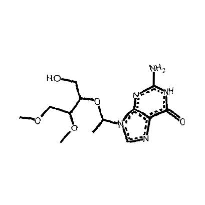 COCC(OC)C(CO)OC(C)n1cnc2c(=O)[nH]c(N)nc21